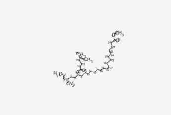 C/C=C/C(C)CCC(CCCCCCCC/C=C\CCCCCCCC(=O)OC)OC(=O)CCCN(C)C